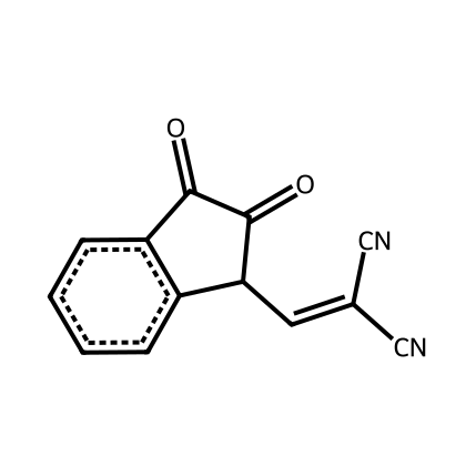 N#CC(C#N)=CC1C(=O)C(=O)c2ccccc21